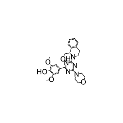 COc1cc(-c2nc(N3CCOCC3)nc(N3CCc4ccccc4C3CO)n2)cc(OC)c1O